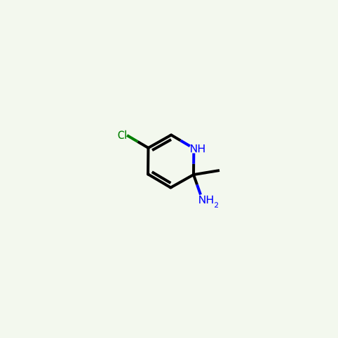 CC1(N)C=CC(Cl)=CN1